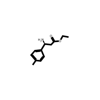 CCOC(=O)C[C@H](N)c1ccc(C)cc1